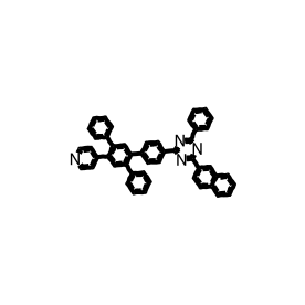 c1ccc(-c2nc(-c3ccc(-c4cc(-c5ccccc5)c(-c5ccncc5)cc4-c4ccccc4)cc3)nc(-c3ccc4ccccc4c3)n2)cc1